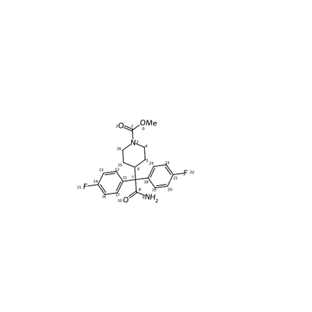 COC(=O)N1CCC(C(C(N)=O)(c2ccc(F)cc2)c2ccc(F)cc2)CC1